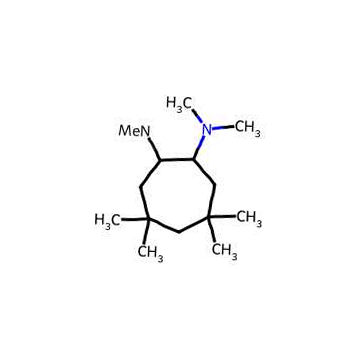 CNC1CC(C)(C)CC(C)(C)CC1N(C)C